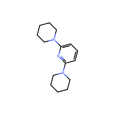 c1cc(N2CCCCC2)nc(N2CCCCC2)c1